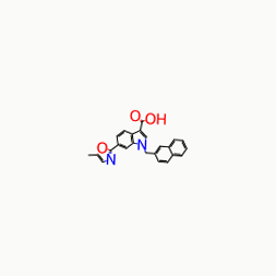 Cc1cnc(-c2ccc3c(C(=O)O)cn(Cc4ccc5ccccc5c4)c3c2)o1